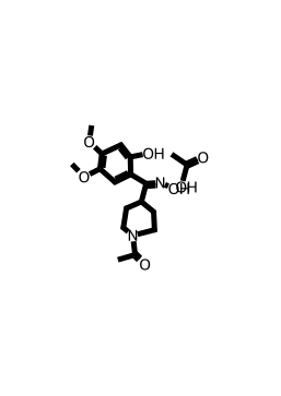 CC(=O)O.COc1cc(O)c(C(=NO)C2CCN(C(C)=O)CC2)cc1OC